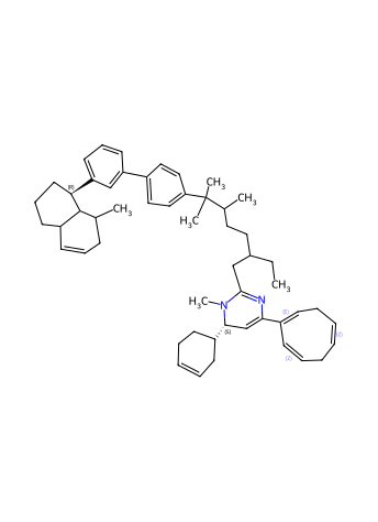 CCC(CCC(C)C(C)(C)c1ccc(-c2cccc([C@@H]3CCCC4C=CCC(C)C43)c2)cc1)CC1=NC(C2=C/C/C=C\C/C=C\2)=C[C@H](C2CC=CCC2)N1C